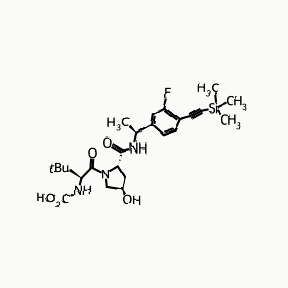 C[C@H](NC(=O)[C@@H]1C[C@@H](O)CN1C(=O)[C@@H](NC(=O)O)C(C)(C)C)c1ccc(C#C[Si](C)(C)C)c(F)c1